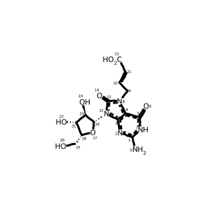 Nc1nc2c(c(=O)[nH]1)n(C/C=C/C(=O)O)c(=O)n2[C@@H]1O[C@H](CO)[C@H](O)[C@H]1O